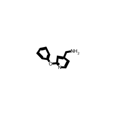 NCc1ccnc(Oc2cc[c]cc2)c1